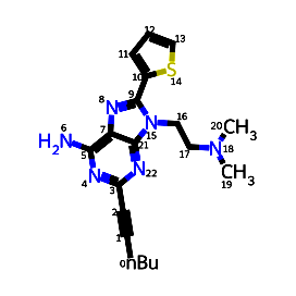 CCCCC#Cc1nc(N)c2nc(-c3cccs3)n(CCN(C)C)c2n1